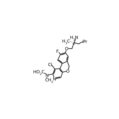 CC(C)C[C@](C)(N)COc1cc2c(cc1F)-c1c(cnc(N(C)C(=O)O)c1Cl)OC2